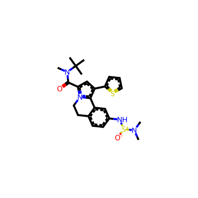 CN(C)[S+]([O-])Nc1ccc2c(c1)-c1c(-c3cccs3)cc(C(=O)N(C)C(C)(C)C)n1CC2